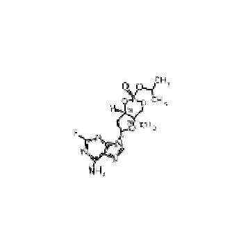 CC(C)OP1(=O)OC[C@@]2(C)O[C@@H](n3cnc4c(N)nc(F)nc43)C[C@@H]2O1